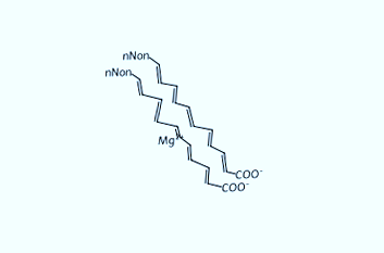 CCCCCCCCCC=CC=CC=CC=CC=CC(=O)[O-].CCCCCCCCCC=CC=CC=CC=CC=CC(=O)[O-].[Mg+2]